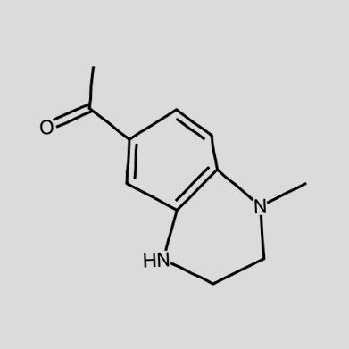 CC(=O)c1ccc2c(c1)NCCN2C